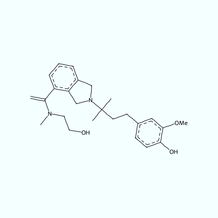 C=C(c1cccc2c1CN(C(C)(C)CCc1ccc(O)c(OC)c1)C2)N(C)CCO